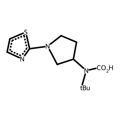 CC(C)(C)N(C(=O)O)C1CCN(c2nccs2)C1